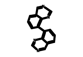 c1cc(-c2cccc3cncnc23)c2ncncc2c1